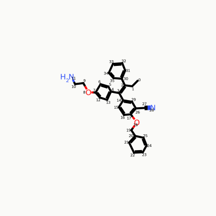 CC/C(=C(/c1ccc(OCCN)cc1)c1ccc(OCc2ccccc2)c(C#N)c1)c1ccccc1